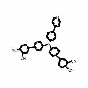 N#Cc1ccc(-c2ccc(N(c3ccc(-c4ccncc4)cc3)c3ccc(-c4ccc(C#N)c(C#N)c4)cc3)cc2)cc1C#N